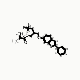 C=C(C)C(=O)OCC(COc1ccc2cc(-c3ccccc3)sc2c1)CC(F)(F)F